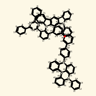 c1ccc(-c2nc(-c3ccccc3)nc(-c3cccc(-c4cccc(-c5cccc(-c6ccc(N7c8ccccc8B8c9ccccc9N(c9ccccc9)c9cccc7c98)cc6)c5)c4)c3-n3c4ccccc4c4cc5c6ccccc6n(-c6ccccc6)c5cc43)n2)cc1